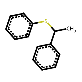 CC(Sc1[c]cccc1)c1ccccc1